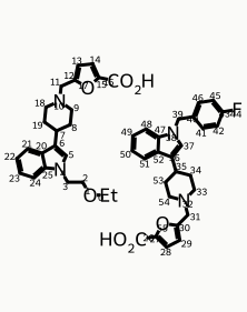 CCOCCn1cc(C2CCN(Cc3ccc(C(=O)O)o3)CC2)c2ccccc21.O=C(O)c1ccc(CN2CCC(c3cn(Cc4ccc(F)cc4)c4ccccc34)CC2)o1